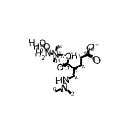 CN(C)NCC(CCC(=O)[O-])C(=O)O.C[N+](C)(C)N.O.O